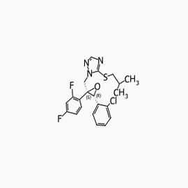 CC(C)CSc1ncnn1C[C@]1(c2ccc(F)cc2F)O[C@@H]1c1ccccc1Cl